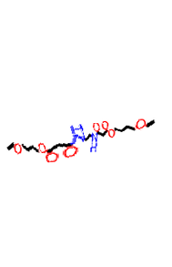 C=COCCCCOC(=O)CC(=O)NCCNC(=O)CC(=O)OCCCCOC=C